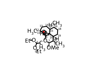 CCOC(C)OCC.CO[C@H]1O[C@@H]2O[C@]3(C)CC[C@H]4[C@H](C)CC[C@@H]([C@H]1C)C24OO3